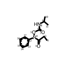 CCC(=O)N(OC(=O)NC(C)C)c1ccccc1